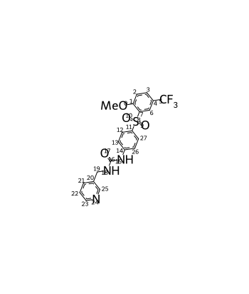 COc1ccc(C(F)(F)F)cc1S(=O)(=O)c1ccc(NC(=O)NCc2cccnc2)cc1